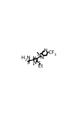 CCSc1c(-c2nc3cc(C(F)(F)F)ncc3n2C)nc(C(N)=S)n1C